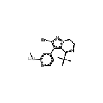 CNc1cc(-c2c(Br)nn3c2C(C(C)(C)C)=NCC3)ccn1